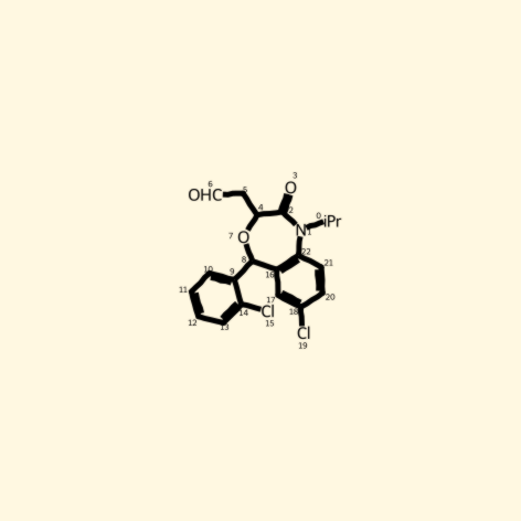 CC(C)N1C(=O)C(CC=O)OC(c2ccccc2Cl)c2cc(Cl)ccc21